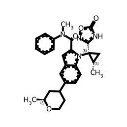 C[C@H]1CC(c2ccc3c(c2)cc(C(=O)N(C)c2ccccc2)n3[C@@]2(c3noc(=O)[nH]3)C[C@@H]2C)CCO1